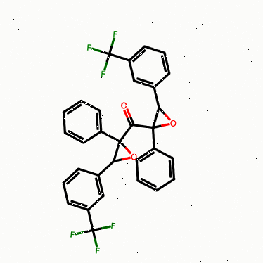 O=C(C1(c2ccccc2)OC1c1cccc(C(F)(F)F)c1)C1(c2ccccc2)OC1c1cccc(C(F)(F)F)c1